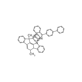 CC1C=C2C(=C3C1c1ccccc1N3c1nc(-c3ccc(-c4ccccc4)cc3)c3ccccc3n1)C(C)(c1ccccc1)c1ccccc12